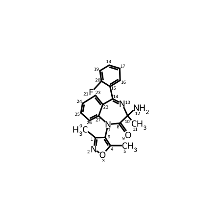 Cc1noc(C)c1N1C(=O)C(C)(N)N=C(c2ccccc2F)c2ccccc21